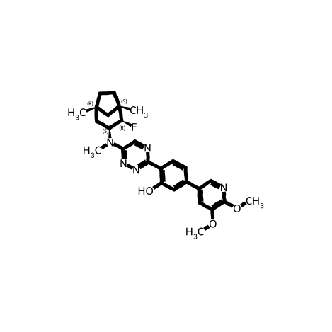 COc1cc(-c2ccc(-c3ncc(N(C)[C@H]4C[C@]5(C)CC[C@@](C)(C5)[C@H]4F)nn3)c(O)c2)cnc1OC